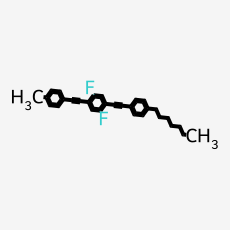 CCCCCCCc1ccc(C#Cc2cc(F)c(C#Cc3ccc(C)cc3)cc2F)cc1